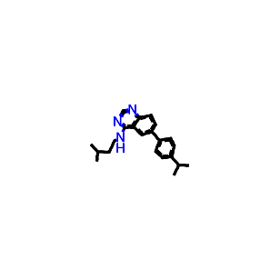 CC(C)CCNc1ncnc2ccc(-c3ccc(C(C)C)cc3)cc12